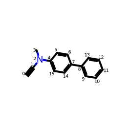 C#CN(C)c1ccc(-c2ccccc2)cc1